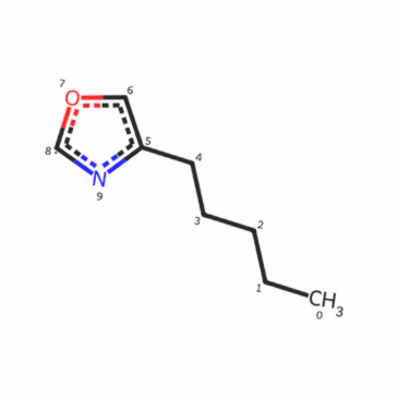 CCCCCc1co[c]n1